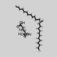 CCCCCCCCCCCCN(C)CCCCCCCCCCCC.O=C(O)CNCP(=O)(O)O